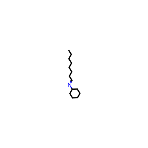 CCCCCCCC=NC1CCCCC1